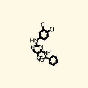 N#CC(Nc1nc(Nc2ccc(Cl)c(Cl)c2)ncc1C(F)(F)F)c1ccccc1